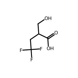 O=C(O)C(CO)CC(F)(F)F